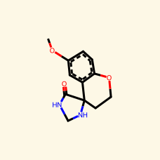 COc1ccc2c(c1)C1(CCO2)NCNC1=O